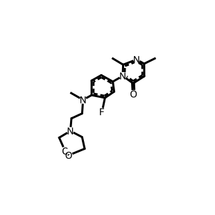 Cc1cc(=O)n(-c2ccc(N(C)CCN3CCOCC3)c(F)c2)c(C)n1